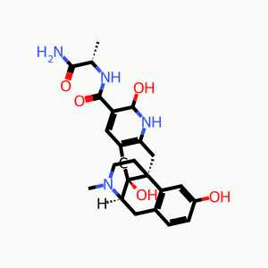 C[C@H](NC(=O)C1=CC2=C(C[C@]34CCN(C)[C@H](Cc5ccc(O)cc53)[C@]4(O)C2)NC1O)C(N)=O